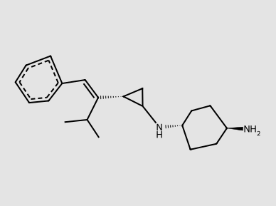 CC(C)/C(=C\c1ccccc1)[C@@H]1CC1N[C@H]1CC[C@H](N)CC1